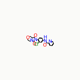 O=C(Nc1ccc(N2C(=O)C3COCCN3C2=O)c(Cl)c1)c1ccccn1